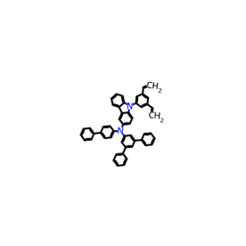 C=Cc1cc(C=C)cc(-n2c3ccccc3c3cc(N(c4ccc(-c5ccccc5)cc4)c4cc(-c5ccccc5)cc(-c5ccccc5)c4)ccc32)c1